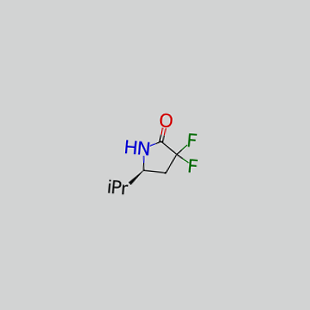 CC(C)[C@@H]1CC(F)(F)C(=O)N1